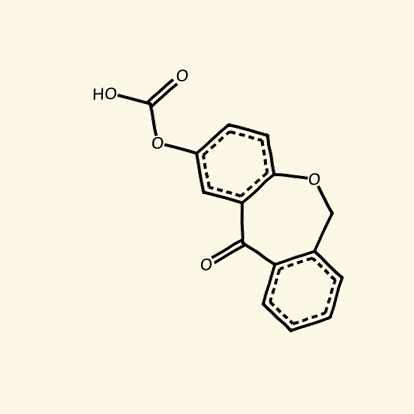 O=C(O)Oc1ccc2c(c1)C(=O)c1ccccc1CO2